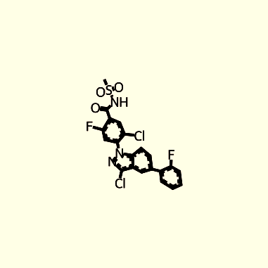 CS(=O)(=O)NC(=O)c1cc(Cl)c(-n2nc(Cl)c3cc(-c4ccccc4F)ccc32)cc1F